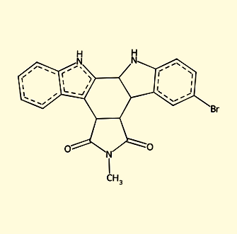 CN1C(=O)C2c3c([nH]c4ccccc34)C3Nc4ccc(Br)cc4C3C2C1=O